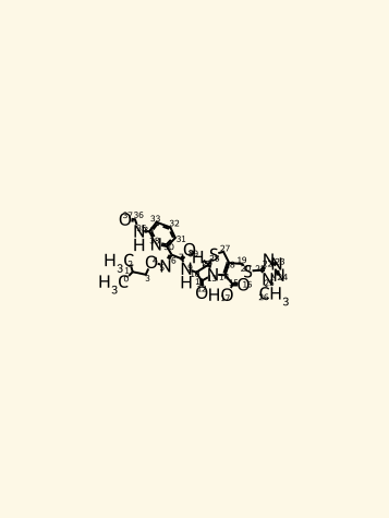 CC(C)CON=C(C(=O)NC1C(=O)N2C(C(=O)O)=C(CSc3nnnn3C)CS[C@@H]12)c1cccc(NC=O)n1